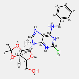 CC1(C)O[C@@H]2[C@H](O1)C(CO)O[C@H]2n1cnc2c(NCc3ccccc3)nc(Cl)nc21